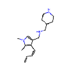 C=C/C=C\c1c(CNCC2CCNCC2)cn(C)c1C